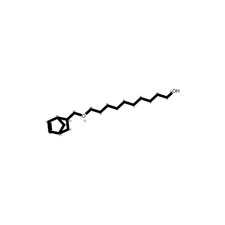 OCCCCCCCCCCOCC1CC2C=CC1C2